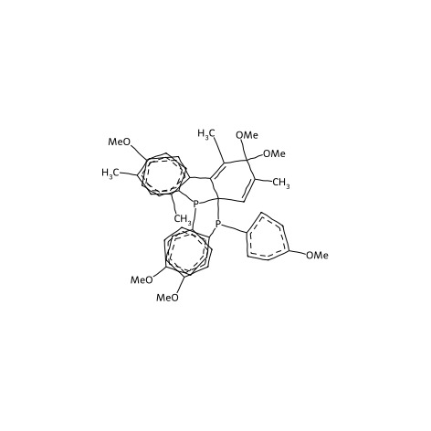 COc1ccc(P(c2ccc(OC)cc2)C2(P(c3ccc(OC)cc3)c3ccc(OC)cc3)C=C(C)C(OC)(OC)C(C)=C2c2ccc(C)cc2C)cc1